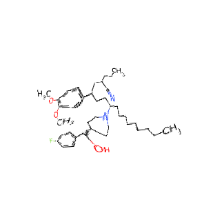 CCCCCCCCCC(CCC(CC(C#N)CCC)c1ccc(OC)c(OC)c1)N1CCC(C(O)c2ccc(F)cc2)CC1